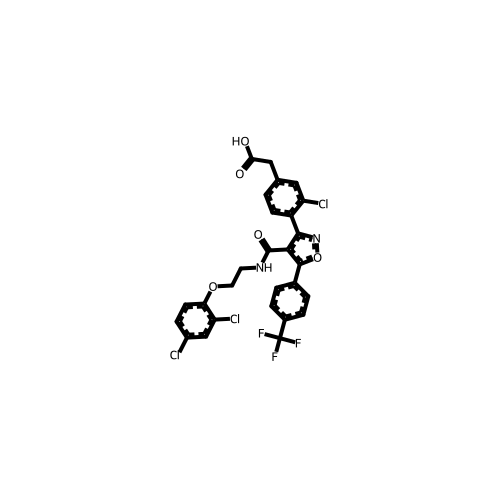 O=C(O)Cc1ccc(-c2noc(-c3ccc(C(F)(F)F)cc3)c2C(=O)NCCOc2ccc(Cl)cc2Cl)c(Cl)c1